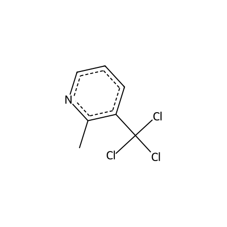 Cc1ncccc1C(Cl)(Cl)Cl